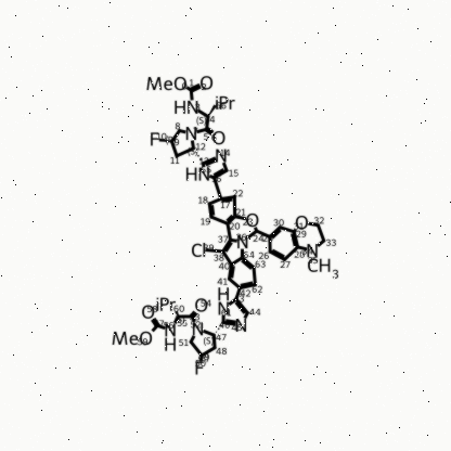 COC(=O)N[C@H](C(=O)N1C[C@H](F)C[C@H]1c1ncc(-c2ccc3c(c2)OC(c2ccc4c(c2)OCCN4C)n2c-3c(Cl)c3cc(-c4cnc([C@@H]5C[C@@H](F)CN5C(=O)[C@@H](NC(=O)OC)C(C)C)[nH]4)ccc32)[nH]1)C(C)C